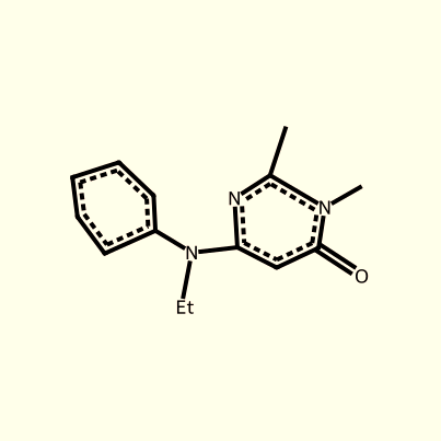 CCN(c1ccccc1)c1cc(=O)n(C)c(C)n1